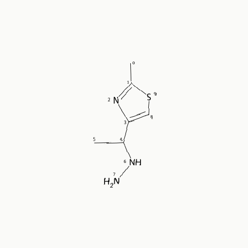 Cc1nc(C(C)NN)cs1